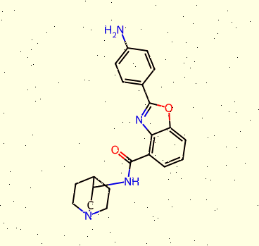 Nc1ccc(-c2nc3c(C(=O)NC4CN5CCC4CC5)cccc3o2)cc1